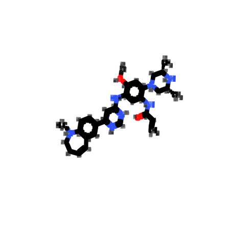 C=CC(=O)Nc1cc(Nc2cc(-c3ccc4c(c3)C=CCCN4C)ncn2)c(OCC)cc1N1C[C@@H](C)N[C@@H](C)C1